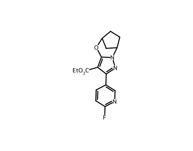 CCOC(=O)c1c(-c2ccc(F)nc2)nn2c1OC1CCC2C1